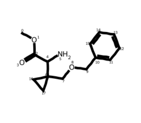 COC(=O)C(N)C1(COCc2ccccc2)CC1